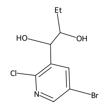 CCC(O)C(O)c1cc(Br)cnc1Cl